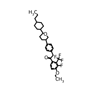 CCCC1CCC(C2CCC(c3ccc(CC(=O)c4ccc(OCC)c(F)c4C(F)(F)F)cc3)CO2)CC1